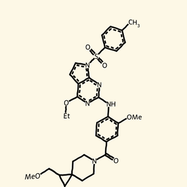 CCOc1nc(Nc2ccc(C(=O)N3CCC4(CC3)CC4COC)cc2OC)nc2c1ccn2S(=O)(=O)c1ccc(C)cc1